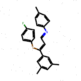 Cc1ccc(N=CC=C(Sc2ccc(F)cc2)c2cc(C)cc(C)c2)cc1